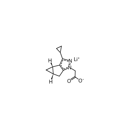 O=C([O-])Cn1nc(C2CC2)c2c1C[C@@H]1C[C@H]21.[Li+]